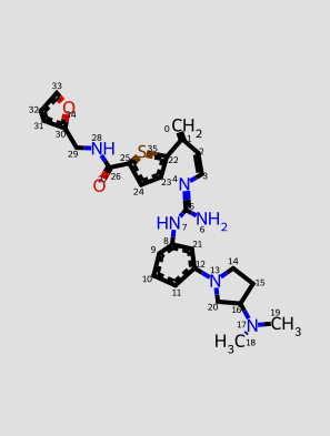 C=C(/C=C\N=C(/N)Nc1cccc(N2CCC(N(C)C)C2)c1)c1ccc(C(=O)NCc2ccco2)s1